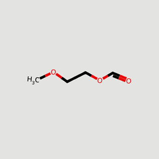 COCCOC=O